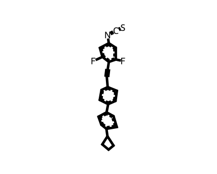 Fc1cc(N=C=S)cc(F)c1C#Cc1ccc(-c2ccc(C3CCC3)cc2)cc1